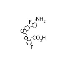 NCc1cccc(-c2ccc3occ(COc4ccc(F)cc4CC(=O)O)c3c2)c1F